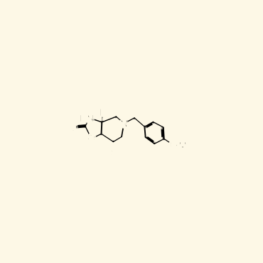 COc1ccc(CN2C[C@H](C)C3OC(=O)N[C@@H]3C2)cc1